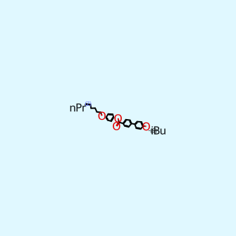 CCC/C=C\CCCCOc1ccc(OC(=O)c2ccc(-c3ccc(OC[C@@H](C)CC)cc3)cc2)cc1